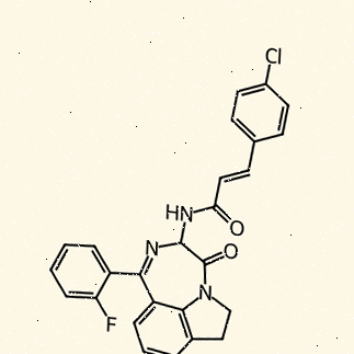 O=C(/C=C/c1ccc(Cl)cc1)NC1N=C(c2ccccc2F)c2cccc3c2N(CC3)C1=O